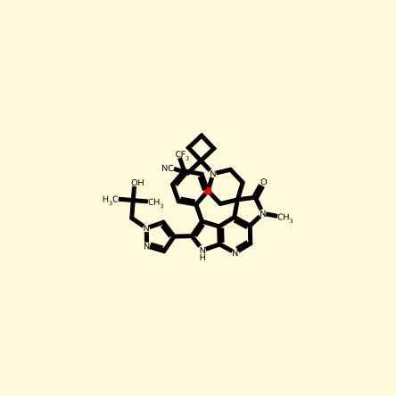 CN1C(=O)C2(CCN(C3(CC#N)CCC3)CC2)c2c1cnc1[nH]c(-c3cnn(CC(C)(C)O)c3)c(-c3ccc(C(F)(F)F)cc3)c21